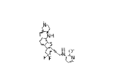 COc1n[c]ccc1NCC#Cc1sc2c(N[C@@H]3CCN(C)C[C@@H]3F)cccc2c1CC(F)(F)F